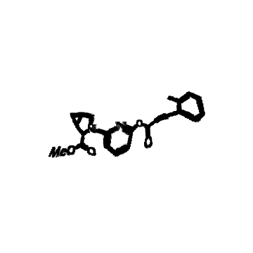 COC(=O)C1C2CC2CN1c1cccc(OC(=O)C#Cc2ccccc2C)n1